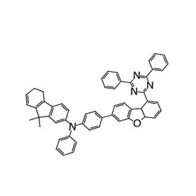 CC1(C)C2=C(CCC=C2)c2ccc(N(c3ccccc3)c3ccc(-c4ccc5c(c4)OC4C=CC=C(c6nc(-c7ccccc7)nc(-c7ccccc7)n6)C54)cc3)cc21